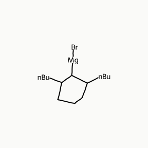 CCCCC1CCCC(CCCC)[CH]1[Mg][Br]